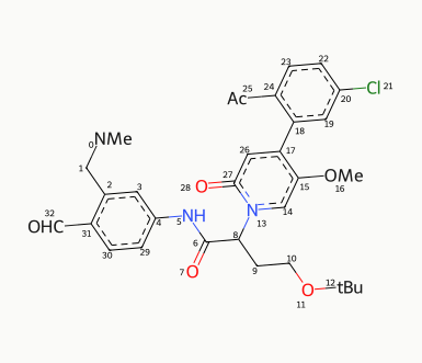 CNCc1cc(NC(=O)C(CCOC(C)(C)C)n2cc(OC)c(-c3cc(Cl)ccc3C(C)=O)cc2=O)ccc1C=O